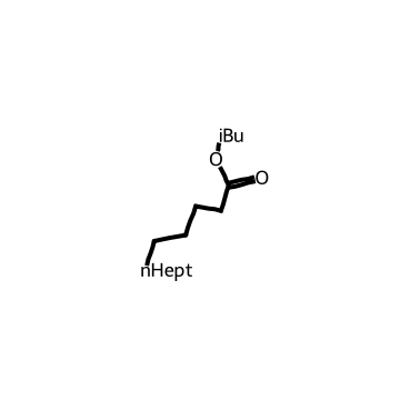 CCCCCCCCCCCC(=O)OC(C)CC